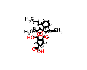 CCCCc1ccccc1C(CCCC)(CCCC)OC(=O)c1ccc(C(=O)O)cc1C(=O)O